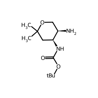 CC(C)(C)OC(=O)N[C@H]1CC(C)(C)OC[C@H]1N